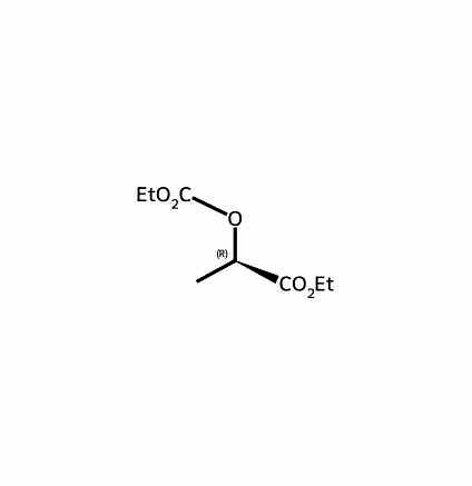 C[CH]OC(=O)O[C@H](C)C(=O)OCC